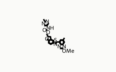 COc1cnc2c(-c3nc4ccc5c(c4s3)CC(COC(=O)Nc3cnc(C)nc3)O5)cc(C)cc2n1